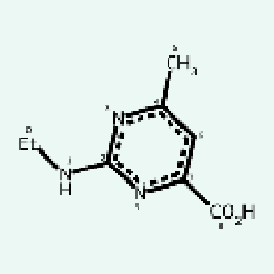 CCNc1nc(C)cc(C(=O)O)n1